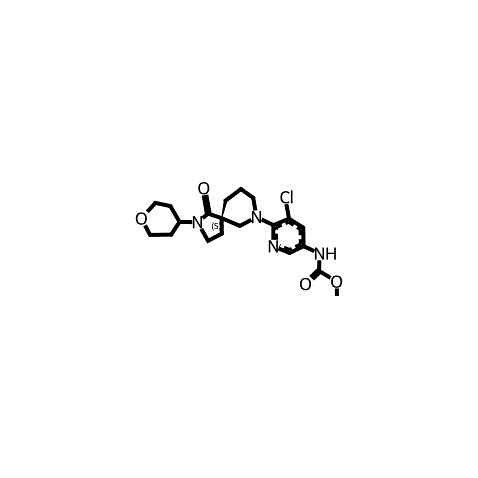 COC(=O)Nc1cnc(N2CCC[C@]3(CCN(C4CCOCC4)C3=O)C2)c(Cl)c1